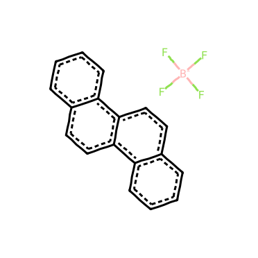 F[B-](F)(F)F.c1ccc2c(c1)ccc1c3ccccc3ccc21